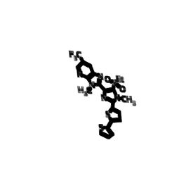 CCS(=O)(=O)c1c(-c2nc3cc(C(F)(F)F)cnc3n2C)nc(-c2ccc(-c3cccs3)s2)n1C